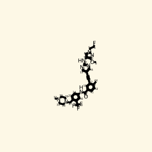 COc1nn(CCF)cc1Nc1ncc(C#Cc2cc(C(=O)Nc3ccc(CN4CCN(C)CC4)c(C(F)(F)F)c3)ccc2C)cn1